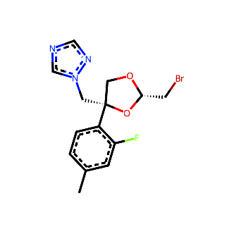 Cc1ccc([C@@]2(Cn3cncn3)CO[C@H](CBr)O2)c(F)c1